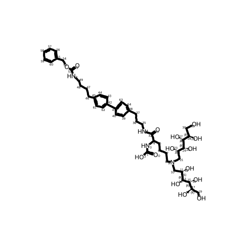 O=C(O)NC(CCCCN(C[C@H](O)[C@@H](O)[C@H](O)[C@H](O)CO)C[C@H](O)[C@@H](O)[C@H](O)[C@H](O)CO)C(=O)NCCCc1ccc(-c2ccc(CCCCNC(=O)OCc3ccccc3)cc2)cc1